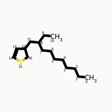 CCCCCCCCC(CC)CC1C=CSC1